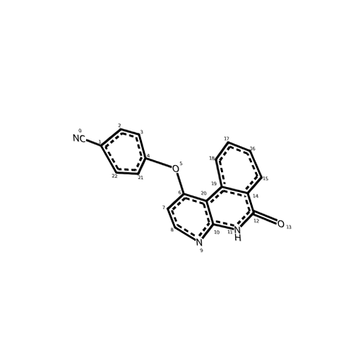 N#Cc1ccc(Oc2ccnc3[nH]c(=O)c4ccccc4c23)cc1